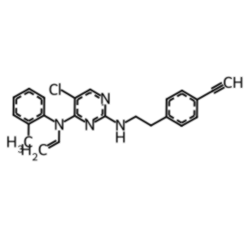 C#Cc1ccc(CCNc2ncc(Cl)c(N(C=C)c3ccccc3C)n2)cc1